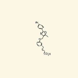 Cc1oc(-c2ccc(C(C)C)cc2)nc1COc1cccc(CSCC(=O)O)c1